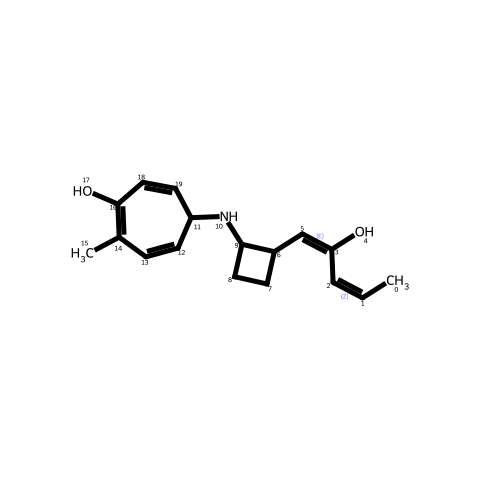 C/C=C\C(O)=C/C1CCC1NC1C=CC(C)=C(O)C=C1